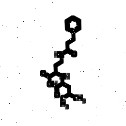 CC(C)CC(C=O)NC(CCNC(=O)CCc1ccccc1)C(=O)O